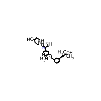 CC(C)(O)C#Cc1cccc(COc2cc(/C(C=N)=C/NN3CCC(O)CC3)cnc2N)c1